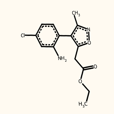 CCOC(=O)Cc1onc(C)c1-c1ccc(Cl)cc1N